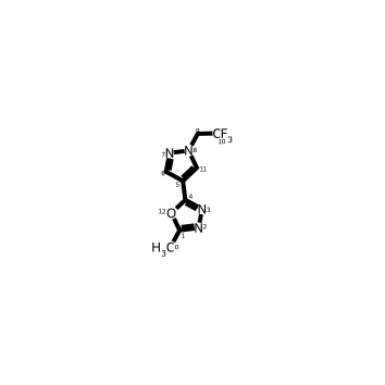 Cc1nnc(-c2cnn(CC(F)(F)F)c2)o1